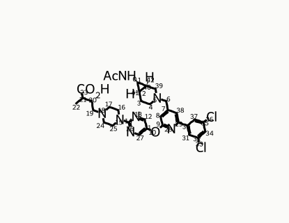 CC(=O)N[C@H]1[C@@H]2CCN(Cc3cc(Oc4cnc(N5CCN(CCC(C)C(=O)O)CC5)nc4)nc(-c4cc(Cl)cc(Cl)c4)c3)C[C@@H]21